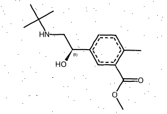 COC(=O)c1cc([C@@H](O)CNC(C)(C)C)ccc1C